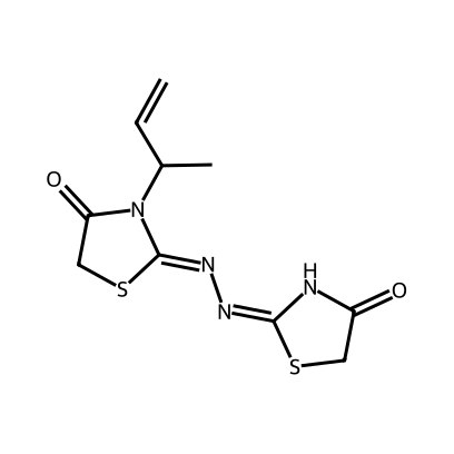 C=CC(C)N1C(=O)CSC1=NN=C1NC(=O)CS1